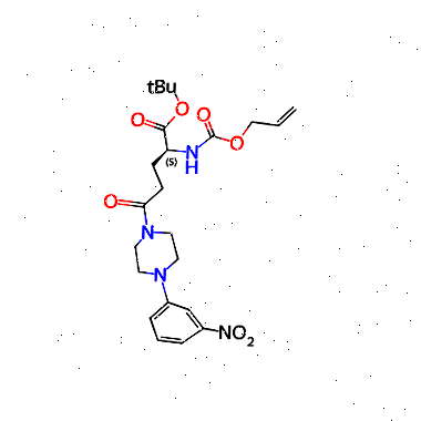 C=CCOC(=O)N[C@@H](CCC(=O)N1CCN(c2cccc([N+](=O)[O-])c2)CC1)C(=O)OC(C)(C)C